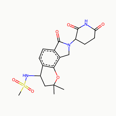 CC1(C)CC(NS(C)(=O)=O)c2ccc3c(c2O1)CN(C1CCC(=O)NC1=O)C3=O